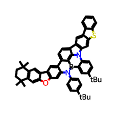 CC(C)(C)c1ccc(N2B3c4cc(C(C)(C)C)ccc4-n4c5cc6sc7ccccc7c6cc5c5ccc(c3c54)-c3cc4c(cc32)oc2cc3c(cc24)C(C)(C)CCC3(C)C)cc1